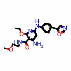 CCOc1nc(Nc2ccc(-c3cnco3)cc2)cc(N)c1C(=O)NCCOC